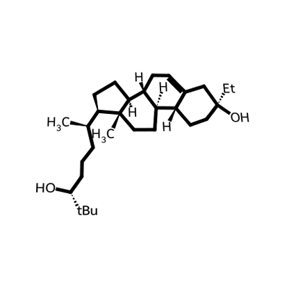 CC[C@]1(O)CC[C@H]2C(=CC[C@@H]3[C@@H]2CC[C@]2(C)[C@@H]([C@H](C)CCC[C@@H](O)C(C)(C)C)CC[C@@H]32)C1